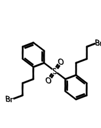 O=S(=O)(c1ccccc1CCCBr)c1ccccc1CCCBr